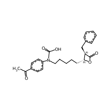 CC(=O)c1ccc(N(CCCCC[C@H]2OC(=O)[C@@H]2Cc2ccccc2)C(=O)O)cc1